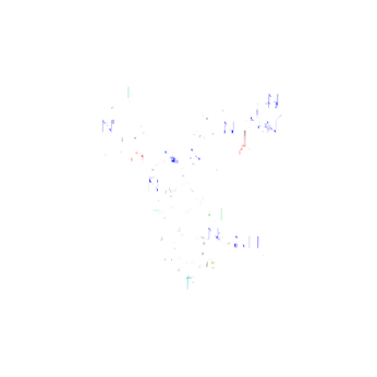 Nc1nc2c(-c3c(Cl)cc4c(N5CCC6(CCN6C(=O)n6cncn6)C5)nc(OC[C@@]56CCCN5C[C@H](F)C6)nc4c3F)ccc(F)c2s1